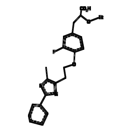 CCOC(Cc1ccc(OCCc2nc(-c3ccccc3)sc2C)c(F)c1)C(=O)O